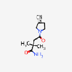 CC(C)(CC(=O)N1CC[C@@H](C#N)C1)C(N)=O